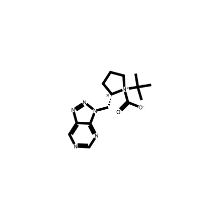 CC(C)(C)[N+]1(C(=O)[O-])CCC[C@H]1Cn1nnc2cncnc21